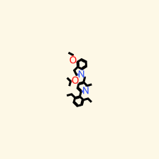 CCOc1cccc2c1CCN2Cc1c(OC(C)C)cc(-c2c(CC)cccc2CC)nc1C